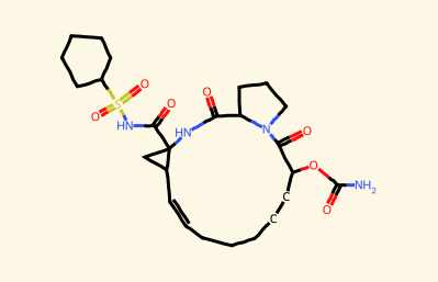 NC(=O)OC1CCCCC/C=C\C2CC2(C(=O)NS(=O)(=O)C2CCCCC2)NC(=O)C2CCCN2C1=O